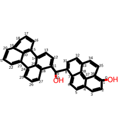 Oc1ccc2ccc3c(C(O)c4ccc5c6cccc7cccc(c8cccc4c85)c76)ccc4ccc1c2c43